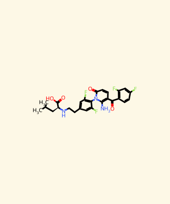 CC(C)C[C@H](NCCc1cc(F)c(-n2c(N)c(C(=O)c3ccc(F)cc3F)ccc2=O)c(F)c1)C(=O)O